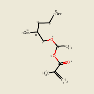 C=C(C)C(=O)OC(C)OCC(CCCCCCCCCC)CCCCCCCCCCCC